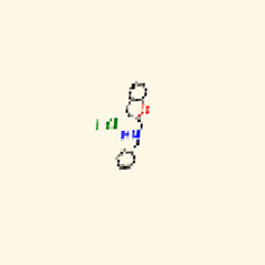 C1=CC(CNCc2ccccc2)Oc2ccccc21.Cl